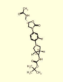 CC(=O)NC[C@H]1CN(c2ccc(N3C[C@@H]4C(NC(=O)OC(C)(C)C)[C@@H]4C3)c(F)c2)C(=O)O1